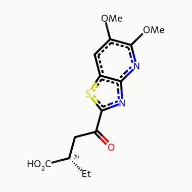 CC[C@@H](CC(=O)c1nc2nc(OC)c(OC)cc2s1)C(=O)O